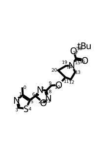 Cc1ncsc1-c1nc(COC2CCN(C(=O)OC(C)(C)C)CC2)no1